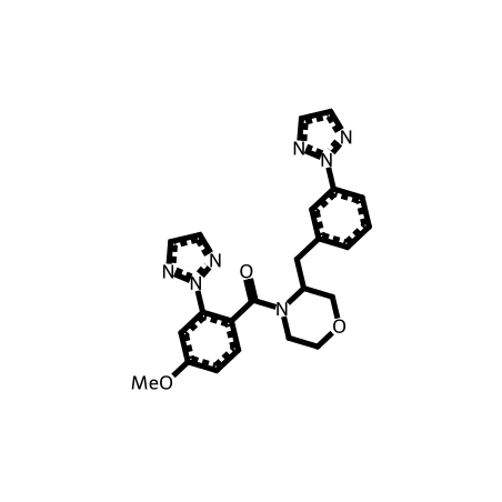 COc1ccc(C(=O)N2CCOCC2Cc2cccc(-n3nccn3)c2)c(-n2nccn2)c1